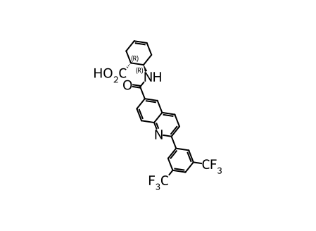 O=C(N[C@@H]1CC=CC[C@H]1C(=O)O)c1ccc2nc(-c3cc(C(F)(F)F)cc(C(F)(F)F)c3)ccc2c1